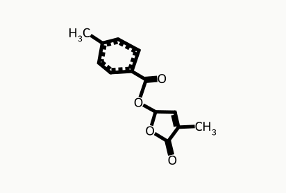 CC1=CC(OC(=O)c2ccc(C)cc2)OC1=O